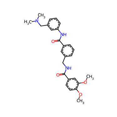 COc1ccc(C(=O)NCc2cccc(C(=O)Nc3cccc(CN(C)C)c3)c2)cc1OC